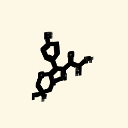 CCc1ccc(-c2c(C(=O)NC(C)C)nn3c2OCC(F)(F)C3)cc1